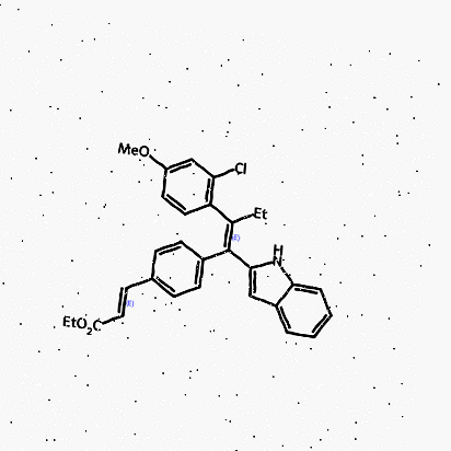 CCOC(=O)/C=C/c1ccc(/C(=C(/CC)c2ccc(OC)cc2Cl)c2cc3ccccc3[nH]2)cc1